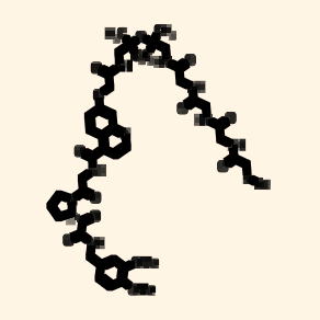 COc1ccc(CNC(=O)C(=O)[C@@H]2CCCN2C(=O)CNC(=O)c2ccnc3cc(OCC(=O)NCC(C)(C)OC(C)(C)CNC(=O)CNC(=O)CNC(=O)CNC(=O)CSC(C)=O)ccc23)cc1OC